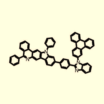 c1ccc(-c2nc3cc4c5ccc(-c6ccc(-c7nc8ccccc8n7-c7ccc8c9ccccc9c9ccccc9c8c7)cc6)cc5n(-c5ccccc5)c4cc3c3ccccc23)cc1